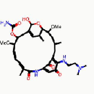 COC1/C=C\C=C(/C)C(=O)NC2=CC(=O)C(NCCN(C)C)=C(CC(C)CC(OC)C3OC(O)C(=CC3C)C1OC(N)=O)C2=O